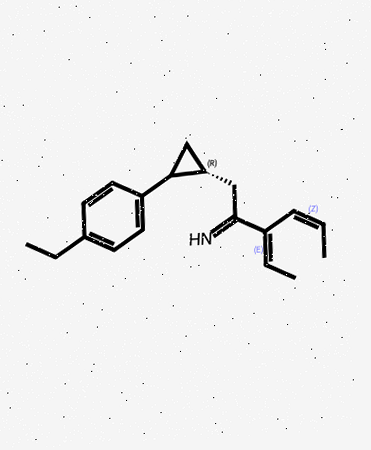 C/C=C\C(=C/C)C(=N)C[C@H]1CC1c1ccc(CC)cc1